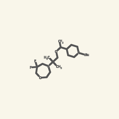 CC(C)(C)N1CCC(C(OCC(C)(C)N2CCOCC(F)(F)C2)C(F)(F)F)CC1